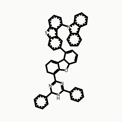 C1=CC2OC3=C(C4=NC(c5ccccc5)NC(c5ccccc5)=N4)CCC=C3C2C(c2ccc3sc4cccc(-n5c6ccccc6c6ccccc65)c4c3c2)=C1